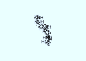 CCC1Oc2cc(-c3cnc([C@@H]4CCCN4)[nH]3)ccc2-c2cc3cc(-c4cnc([C@@H]5CCCN5)[nH]4)ccc3n21